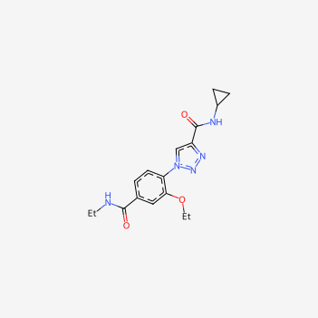 CCNC(=O)c1ccc(-n2cc(C(=O)NC3CC3)nn2)c(OCC)c1